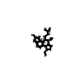 CCN1CC=C2N1c1cnc3nn(C)cc3c1C(CCC(C)C)[N+]2=O